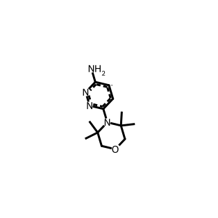 CC1(C)COCC(C)(C)N1c1c[c]c(N)nn1